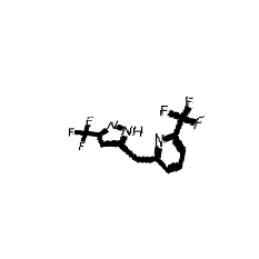 FC(F)(F)c1cc(Cc2cccc(C(F)(F)F)n2)[nH]n1